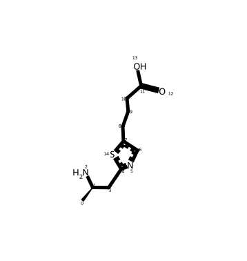 C[C@@H](N)Cc1ncc(CCCC(=O)O)s1